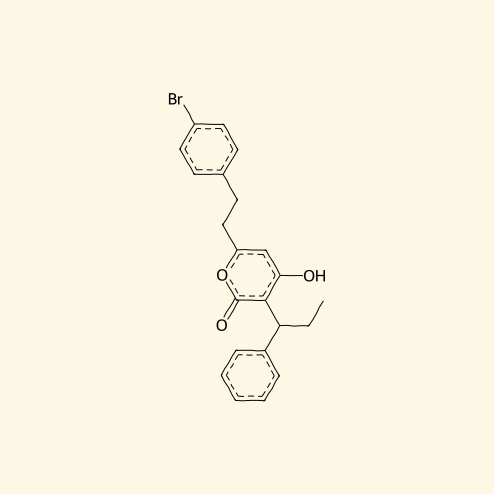 CCC(c1ccccc1)c1c(O)cc(CCc2ccc(Br)cc2)oc1=O